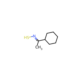 C/C(=N\S)C1CCCCC1